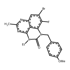 CCN1C(=O)N(Cc2ccc(OC)cc2)c2c(F)c(Br)cc3nc(C)nc1c23